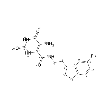 Nc1c(C(=O)NCCC2CCc3ccc(F)cc32)[nH]c(=O)[nH]c1=O